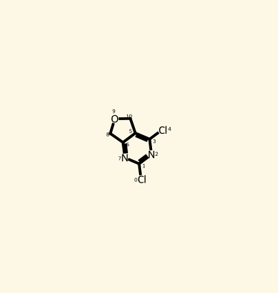 Clc1nc(Cl)c2c(n1)COC2